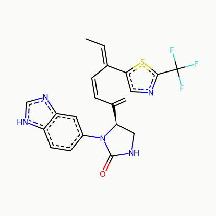 C=C(/C=C\C(=C/C)c1cnc(C(F)(F)F)s1)[C@H]1CNC(=O)N1c1ccc2[nH]cnc2c1